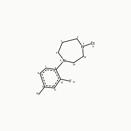 CCN1CCCN(c2ccc(C)cc2F)CC1